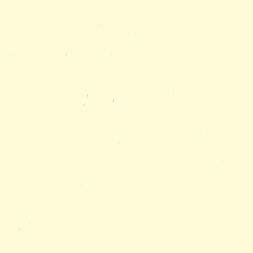 CCOC(=O)C1(COc2c(-c3cccc4c3CCC4=O)ccc(OC)c2OC)CC1